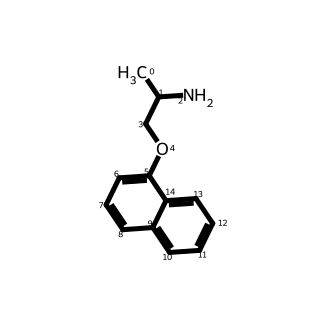 CC(N)COc1cccc2ccccc12